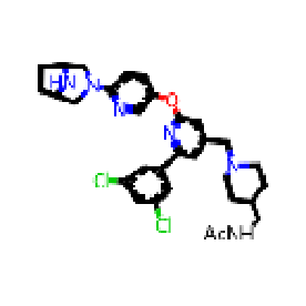 CC(=O)NCC1CCN(Cc2cc(Oc3ccc(N4CC5CCC(C4)N5)nc3)nc(-c3cc(Cl)cc(Cl)c3)c2)CC1